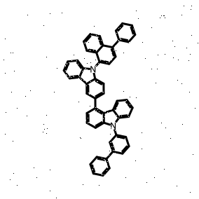 c1ccc(-c2cccc(-n3c4ccccc4c4c(-c5ccc6c(c5)c5ccccc5n6-c5ccc(-c6ccccc6)c6ccccc56)cccc43)c2)cc1